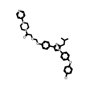 CC(C)Cc1nc(-c2ccc(OCOCC(=O)N3CCN(c4ccncc4)CC3)cc2)cn1-c1ccc(Oc2ccc(Cl)cc2)cc1